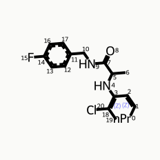 CCC/C=C\C(NC(C)C(=O)NCc1ccc(F)cc1)=C(/C)Cl